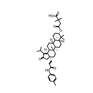 Cc1ccc(NC(=O)/C=C/[C@@]23CC[C@]4(C)[C@H](CC[C@@H]5[C@@]6(C)CC[C@H](OC(=O)CC(C)(C)C(=O)O)C(C)(C)[C@@H]6CC[C@]54C)C2=C(C(C)C)C(=O)C3)cc1